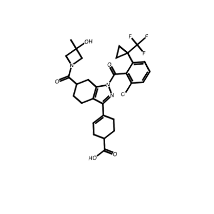 CC1(O)CN(C(=O)C2CCc3c(C4=CCC(C(=O)O)CC4)nn(C(=O)c4c(Cl)cccc4C4(C(F)(F)F)CC4)c3C2)C1